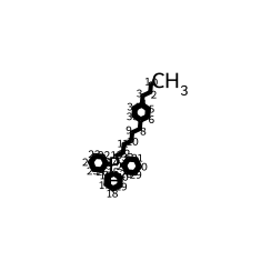 CCCCc1ccc(CCCCCC[PH](c2ccccc2)(c2ccccc2)c2ccccc2)cc1